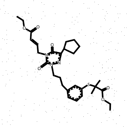 CCOC(=O)C=CCn1c(=O)c(C2CCCC2)nn(CCCc2cccc(SC(C)(C)C(=O)OCC)c2)c1=O